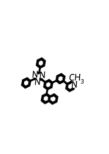 Cc1ncccc1-c1cccc(-c2cc(-c3nc(-c4ccccc4)nc(-c4ccccc4)n3)cc(-c3cccc4ccccc34)c2)c1